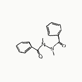 CN(C(=O)c1ccccc1)N(C)C(=O)c1ccccc1